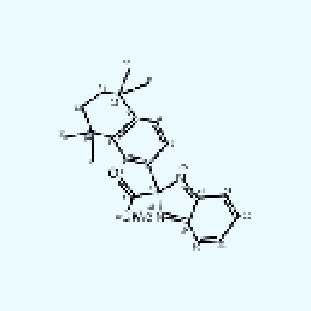 COC(=O)C1(c2ccc3c(c2)C(C)(C)CCC3(C)C)N=c2ccccc2=N1